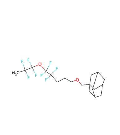 CC(F)(F)C(F)(F)OC(F)(F)C(F)(F)CCCOCC12CC3CC(CC(C3)C1)C2